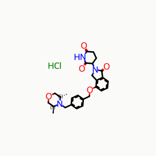 C[C@H]1COC[C@H](C)N1Cc1ccc(COc2cccc3c2CN(C2CCC(=O)NC2=O)C3=O)cc1.Cl